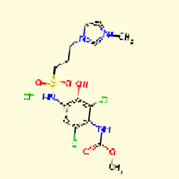 COC(=O)Nc1c(Cl)cc(NS(=O)(=O)CCCn2cc[n+](C)c2)c(O)c1Cl.[Cl-]